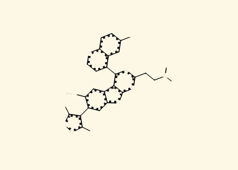 COc1cc2c(cc1-c1c(C)noc1C)[nH]c1nc(CCN(C)C)nc(-c3ccnc4ccc(F)cc34)c12